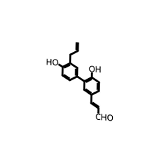 C=CCc1cc(-c2cc(/C=C/C=O)ccc2O)ccc1O